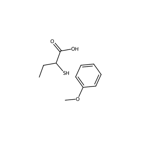 CCC(S)C(=O)O.COc1ccccc1